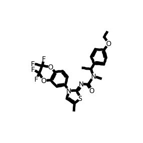 CCOc1ccc(C(C)N(C)C(=O)/N=c2\sc(C)cn2-c2ccc3c(c2)OC(F)(F)C(F)(F)O3)cc1